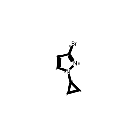 Brc1ccn(C2CC2)n1